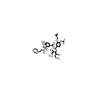 C=C/C(Cl)=C(C[C@H](OC(=O)c1ccc(OC)c(S(=O)(=O)NCCN2CCOCC2)c1)c1ccc(OC(F)F)c(OCC2CC2)c1)\C(Cl)=C/C